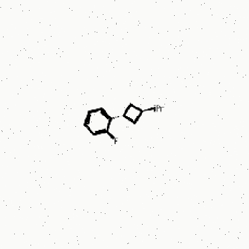 CC(C)[C@H]1C[C@H](c2ccccc2F)C1